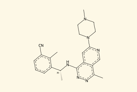 Cc1c(C#N)cccc1[C@@H](C)Nc1nnc(C)c2cnc(N3CCN(C)CC3)cc12